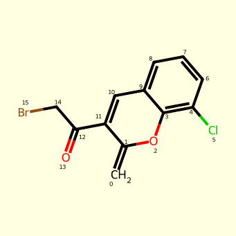 C=C1Oc2c(Cl)cccc2C=C1C(=O)CBr